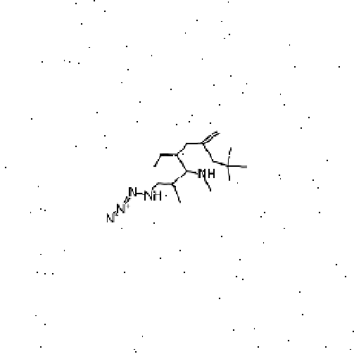 C=C(CC(CC)C(NC)C(C)CNN=[N+]=[N-])CC(C)(C)C